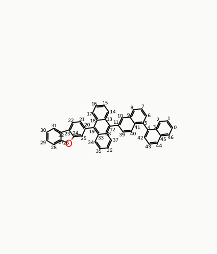 c1ccc2c(-c3cccc4cc(-c5c6ccccc6c(-c6ccc7c(c6)oc6ccccc67)c6ccccc56)ccc34)cccc2c1